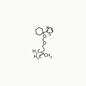 C[Si](C)(C)CCOCOC1(c2nccs2)CCCCC1